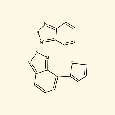 c1ccc2nsnc2c1.c1csc(-c2cccc3nsnc23)c1